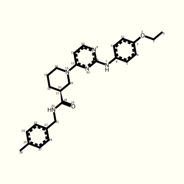 CCOc1ccc(Nc2nccc(N3CCC[C@H](C(=O)NCc4ccc(C)cc4)C3)n2)cc1